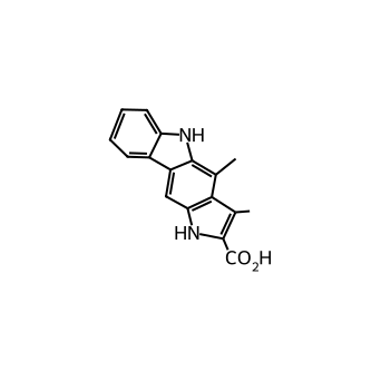 Cc1c(C(=O)O)[nH]c2cc3c([nH]c4ccccc43)c(C)c12